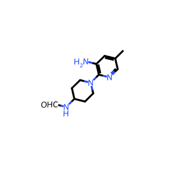 Cc1cnc(N2CCC(NC=O)CC2)c(N)c1